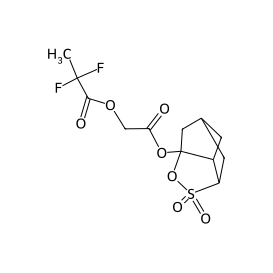 CC(F)(F)C(=O)OCC(=O)OC12CC3CC1C(C3)S(=O)(=O)O2